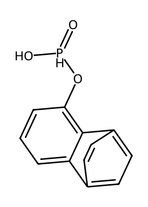 O=[PH](O)Oc1cccc2c3ccc(cc3)c12